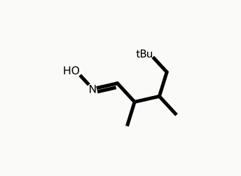 CC(C=NO)C(C)CC(C)(C)C